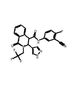 N#Cc1cc(NC(=O)C2c3ccccc3C(=O)N(CC(F)(F)F)C2c2cn[nH]c2)ccc1F